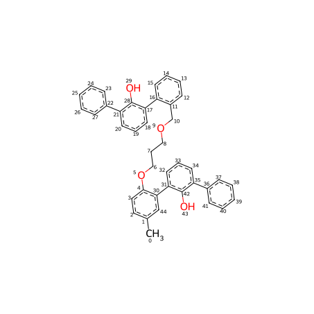 Cc1ccc(OCCCOCc2ccccc2-c2cccc(-c3ccccc3)c2O)c(-c2cccc(-c3ccccc3)c2O)c1